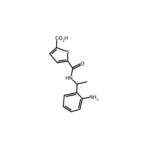 CC(NC(=O)c1ccc(C(=O)O)s1)c1ccccc1N